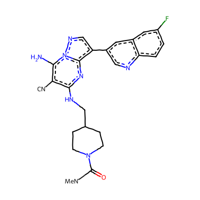 [C-]#[N+]c1c(NCC2CCN(C(=O)NC)CC2)nc2c(-c3cnc4ccc(F)cc4c3)cnn2c1N